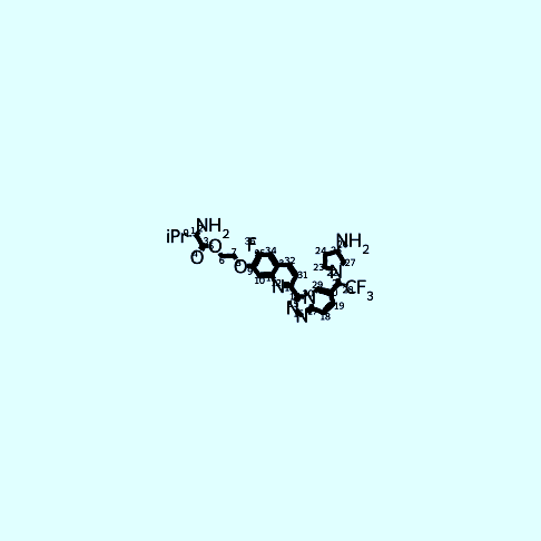 CC(C)[C@H](N)C(=O)OCCOc1cc2nc(-c3nnc4ccc([C@@H](N5CC[C@H](N)C5)C(F)(F)F)cn34)ccc2cc1F